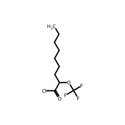 CCCCCCCC(OC(F)(F)F)C(=O)Cl